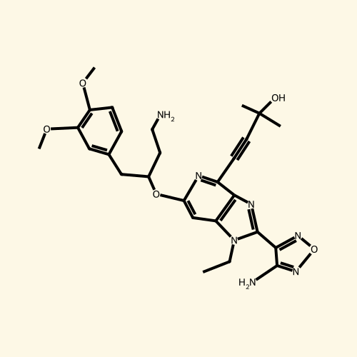 CCn1c(-c2nonc2N)nc2c(C#CC(C)(C)O)nc(OC(CCN)Cc3ccc(OC)c(OC)c3)cc21